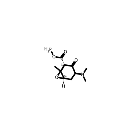 CN(C)C1C[C@H]2OC2(C)[C@H](C(=O)OP)C1=O